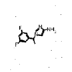 CC(c1cc(F)cc(F)c1)n1cnc(N)c1